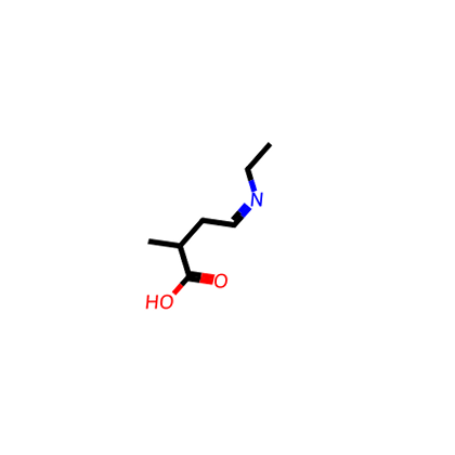 CC/N=C\CC(C)C(=O)O